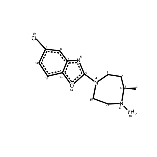 C[C@@H]1CCN(c2nc3cc(Cl)ccc3o2)CCN1P